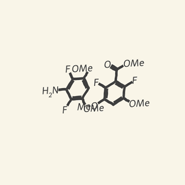 COC(=O)c1c(F)c(OC)cc(OC)c1F.COc1cc(OC)c(F)c(N)c1F